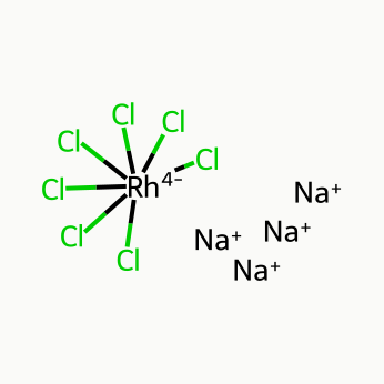 [Cl][Rh-4]([Cl])([Cl])([Cl])([Cl])([Cl])[Cl].[Na+].[Na+].[Na+].[Na+]